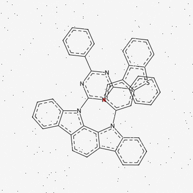 c1ccc(-c2nc(-c3ccccc3)nc(-n3c4ccccc4c4ccc5c6ccccc6n(-c6ccc7c(c6)sc6ccccc67)c5c43)n2)cc1